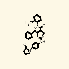 Cc1ccccc1-n1nc(-c2ccccc2)c2nc(Nc3ccc(N4CCCC4=O)cc3)ncc2c1=O